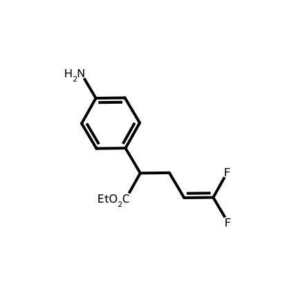 CCOC(=O)C(CC=C(F)F)c1ccc(N)cc1